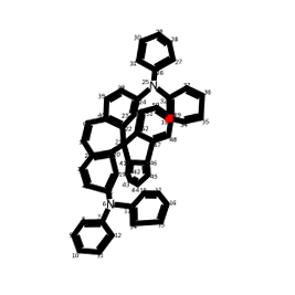 C1=Cc2ccc(N(c3ccccc3)c3ccccc3)cc2C2(c3cc(N(c4ccccc4)c4ccccc4)ccc31)c1ccccc1-c1ccccc12